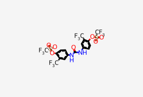 O=C(Nc1ccc(OS(=O)(=O)C(F)(F)F)c(C(F)(F)F)c1)Nc1ccc(OS(=O)(=O)C(F)(F)F)c(C(F)(F)F)c1